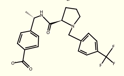 C[C@H](NC(=O)[C@H]1CCCN1Cc1ccc(C(F)(F)F)cc1)c1ccc(C(=O)[O-])cc1.[Li+]